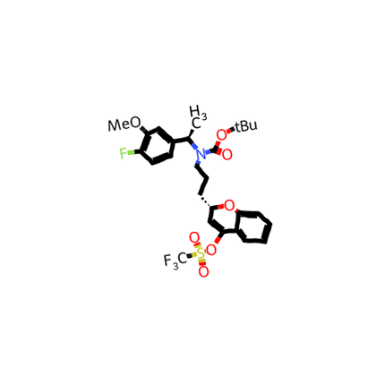 COc1cc([C@@H](C)N(CCC[C@H]2C=C(OS(=O)(=O)C(F)(F)F)c3ccccc3O2)C(=O)OC(C)(C)C)ccc1F